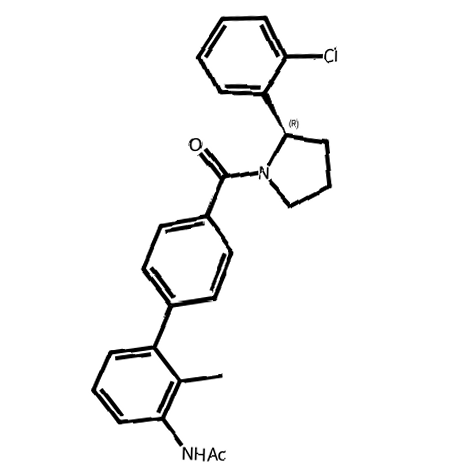 CC(=O)Nc1cccc(-c2ccc(C(=O)N3CCC[C@@H]3c3ccccc3Cl)cc2)c1C